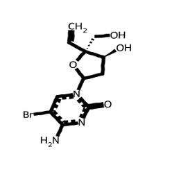 C=C[C@]1(CO)OC(n2cc(Br)c(N)nc2=O)C[C@@H]1O